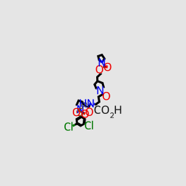 O=C(O)C(CCC(=O)N1CCC(CCOC(=O)N2CCCC2)CC1)NC(=O)[C@@H]1CCCN1S(=O)(=O)c1cc(Cl)cc(Cl)c1